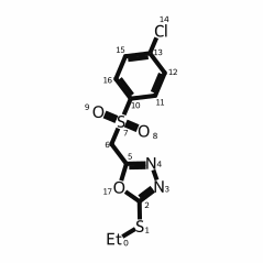 CCSc1nnc(CS(=O)(=O)c2ccc(Cl)cc2)o1